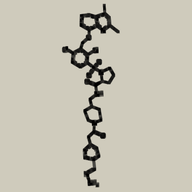 Cc1cc(C)c2cccc(OCc3c(Cl)ccc(S(=O)(=O)N4CCC[C@H]4C(=O)NCC4CCN(C(=O)Cc5ccc(C=NN)cc5)CC4)c3Cl)c2n1